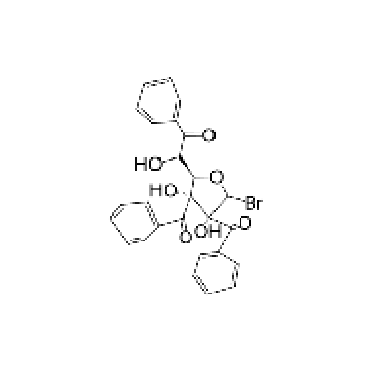 O=C(c1ccccc1)C(O)[C@H]1OC(Br)[C@@](O)(C(=O)c2ccccc2)[C@@]1(O)C(=O)c1ccccc1